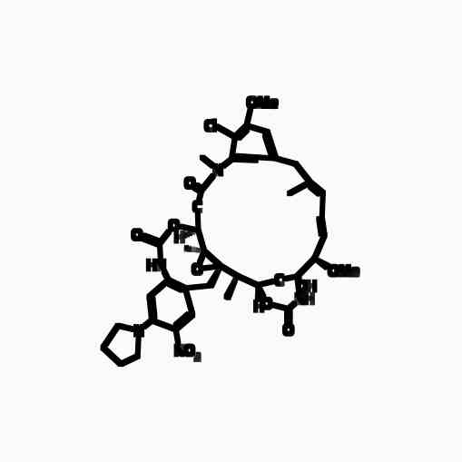 COc1cc2cc(c1Cl)N(C)C(=O)C[C@@H]1OC(=O)Nc3cc(N4CCCC4)c([N+](=O)[O-])cc3C[C@]3(O[C@@]13C)[C@H](C)[C@@H]1C[C@@](O)(NC(=O)O1)[C@H](OC)/C=C/C=C(\C)C2